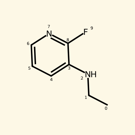 CCNc1cccnc1F